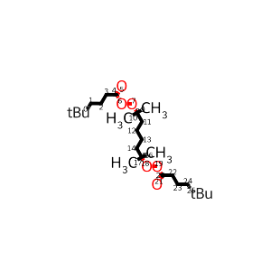 CC(C)(C)CCCC(=O)OOC(C)(C)CCCCC(C)(C)OOC(=O)CCCC(C)(C)C